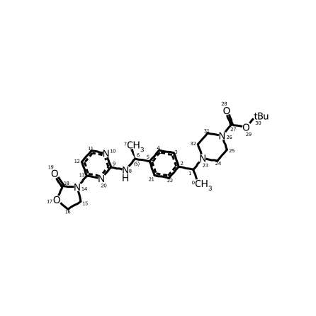 CC(c1ccc([C@H](C)Nc2nccc(N3CCOC3=O)n2)cc1)N1CCN(C(=O)OC(C)(C)C)CC1